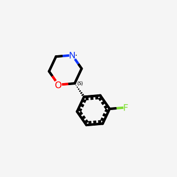 Fc1cccc([C@H]2C[N]CCO2)c1